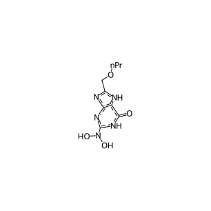 CCCOCc1nc2nc(N(O)O)[nH]c(=O)c2[nH]1